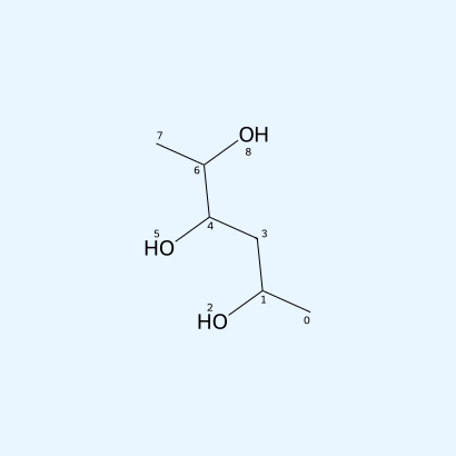 CC(O)CC(O)C(C)O